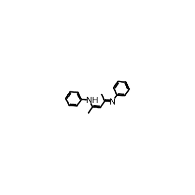 C/C(=C/C(C)=N/c1ccccc1)Nc1ccccc1